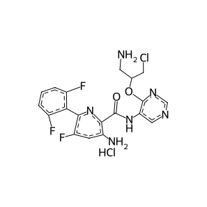 Cl.NCC(CCl)Oc1ncncc1NC(=O)c1nc(-c2c(F)cccc2F)c(F)cc1N